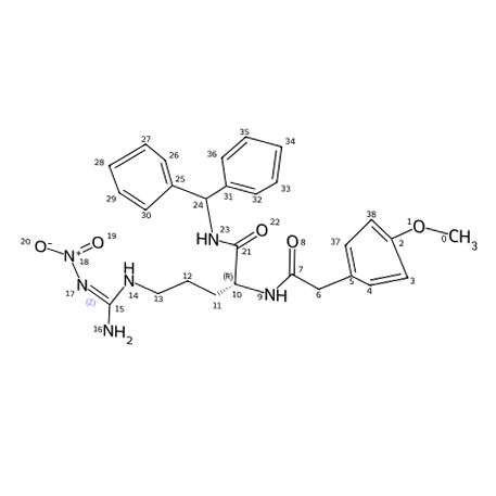 COc1ccc(CC(=O)N[C@H](CCCN/C(N)=N\[N+](=O)[O-])C(=O)NC(c2ccccc2)c2ccccc2)cc1